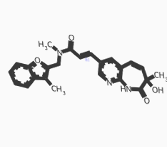 Cc1c(CN(C)C(=O)/C=C/c2cnc3c(c2)C=CC(C)(O)C(=O)N3)oc2ccccc12